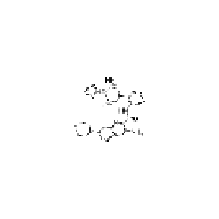 C[C@H]1CN(c2ccncc2NC(=O)c2nc3cc(N4CCOCC4)ccc3cc2N)C[C@@H](N)[C@H]1n1ccnn1